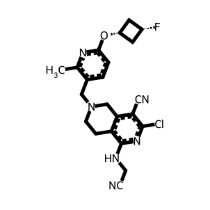 Cc1nc(O[C@H]2C[C@@H](F)C2)ccc1CN1CCc2c(NCC#N)nc(Cl)c(C#N)c2C1